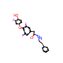 O=C(Cc1cc(I)c(Oc2ccc(O)c(I)c2)c(I)c1)NCCc1ccccc1